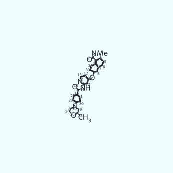 CNC(=O)c1cccc2cc(Oc3ccnc(NC(=O)c4ccc(N5CCOC(C)C5)cc4)c3)ccc12